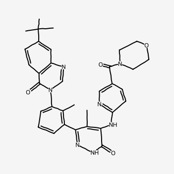 Cc1c(-c2n[nH]c(=O)c(Nc3ccc(C(=O)N4CCOCC4)cn3)c2C)cccc1-n1cnc2cc(C(C)(C)C)ccc2c1=O